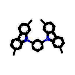 Cc1ccc2c3ccc(C)cc3n(-c3cccc(-n4c5cc(C)ccc5c5ccc(C)cc54)c3)c2c1